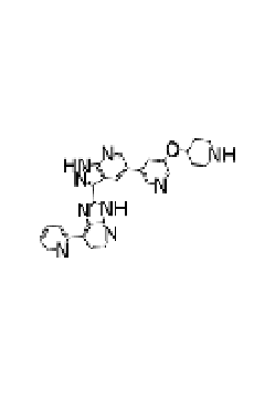 c1ccc(-c2ccnc3[nH]c(-c4n[nH]c5ncc(-c6cncc(OC7CCNCC7)c6)cc45)nc23)nc1